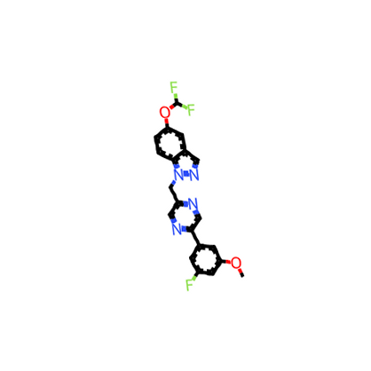 COc1cc(F)cc(-c2cnc(Cn3ncc4cc(OC(F)F)ccc43)cn2)c1